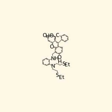 CCSCCN(CCSCC)c1ccccc1NCc1c(O)ccc2c(-c3ccccc3C(=O)O)c3ccc(=O)cc-3oc12